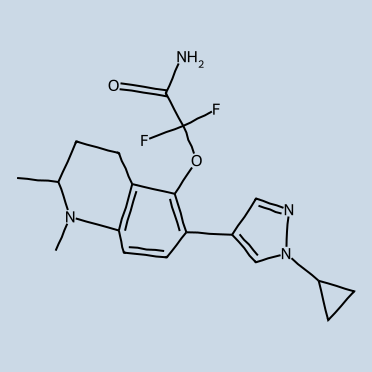 CC1CCc2c(ccc(-c3cnn(C4CC4)c3)c2OC(F)(F)C(N)=O)N1C